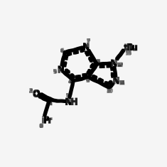 CC(C)C(=O)Nc1ncnc2c1cnn2C(C)(C)C